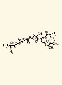 C=C(C)C(=C)OCCN(CCC(=O)C(=C)C)C(=O)C(C)CSCC(=O)OCC(O)COC(=O)C(C)(C)CC